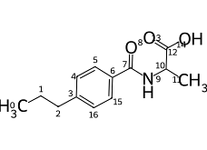 CCCc1ccc(C(=O)NC(C)C(=O)O)cc1